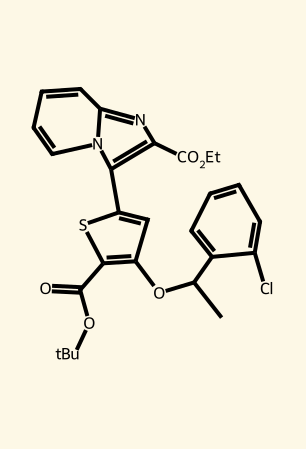 CCOC(=O)c1nc2ccccn2c1-c1cc(OC(C)c2ccccc2Cl)c(C(=O)OC(C)(C)C)s1